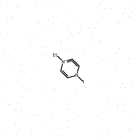 CC[N+]1=C=CN(I)C=C1